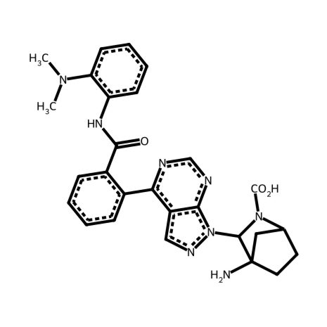 CN(C)c1ccccc1NC(=O)c1ccccc1-c1ncnc2c1cnn2C1N(C(=O)O)C2CCC1(N)C2